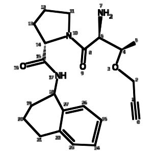 C#CCO[C@H](C)[C@H](N)C(=O)N1CCC[C@H]1C(=O)NC1CCCc2ccccc21